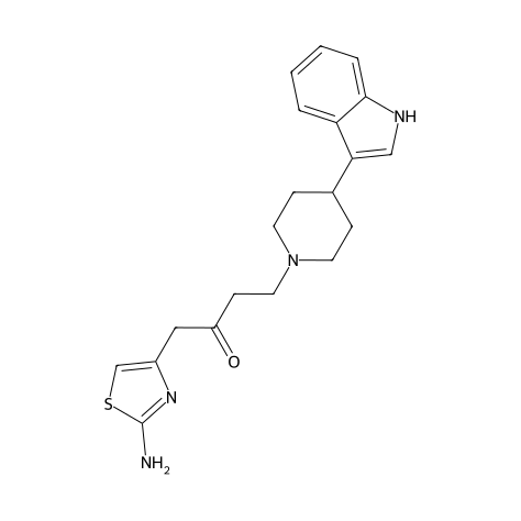 Nc1nc(CC(=O)CCN2CCC(c3c[nH]c4ccccc34)CC2)cs1